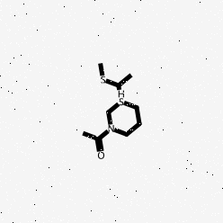 CSC(C)[SH]1CCCN(C(C)=O)C1